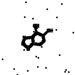 Oc1ccc2ocnc2c1O